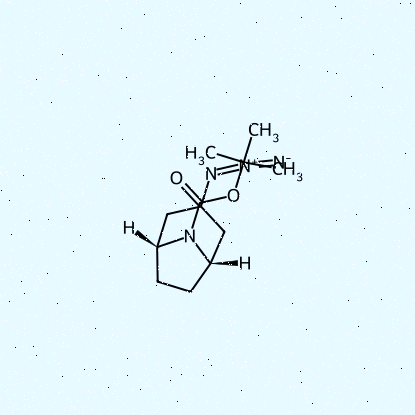 CC(C)(C)OC(=O)N1[C@@H]2CC[C@H]1CC(N=[N+]=[N-])C2